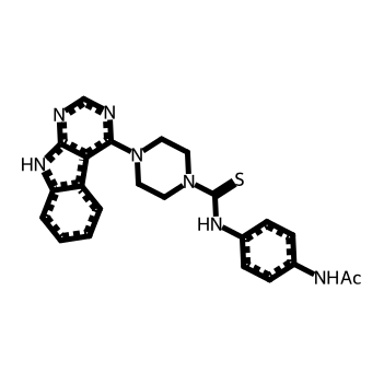 CC(=O)Nc1ccc(NC(=S)N2CCN(c3ncnc4[nH]c5ccccc5c34)CC2)cc1